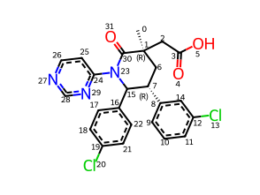 C[C@]1(CC(=O)O)C[C@H](c2cccc(Cl)c2)C(c2ccc(Cl)cc2)N(c2ccncn2)C1=O